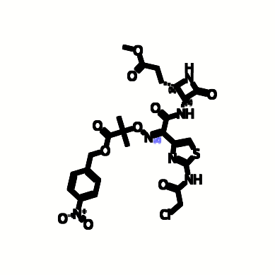 COC(=O)CC[C@@H]1NC(=O)[C@@H]1NC(=O)/C(=N\OC(C)(C)C(=O)OCc1ccc([N+](=O)[O-])cc1)c1csc(NC(=O)CCl)n1